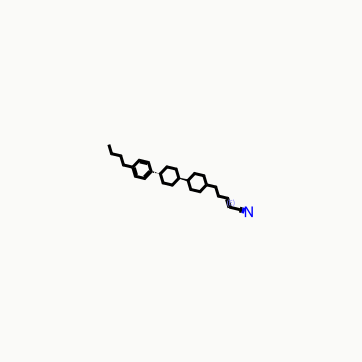 CCCCc1ccc([C@H]2CC[C@H](C3CCC(CC/C=C/C#N)CC3)CC2)cc1